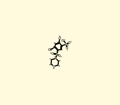 O=S(=O)(Cl)c1cc(S(=O)(=O)N2CCOCC2)c(Cl)cc1Cl